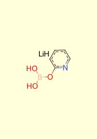 OB(O)Oc1ccccn1.[LiH]